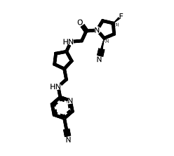 N#Cc1ccc(NCC2CCC(NCC(=O)N3C[C@@H](F)C[C@H]3C#N)C2)nc1